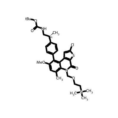 COc1cc(C)c2c(c1-c1ccc([C@@H](C)CNC(=O)OC(C)(C)C)cc1)c1cc(Cl)sc1c(=O)n2COCC[Si](C)(C)C